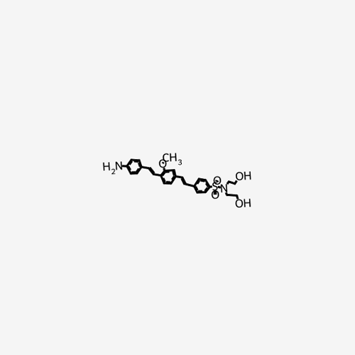 COc1cc(C=Cc2ccc(S(=O)(=O)N(CCO)CCO)cc2)ccc1C=Cc1ccc(N)cc1